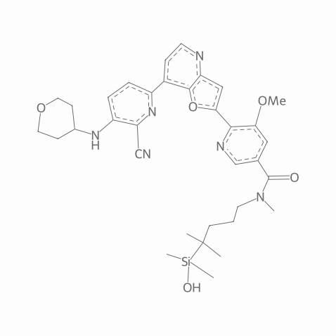 COc1cc(C(=O)N(C)CCCC(C)(C)[Si](C)(C)O)cnc1-c1cc2nccc(-c3ccc(NC4CCOCC4)c(C#N)n3)c2o1